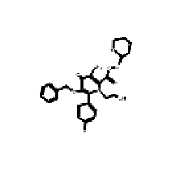 Cc1c(C(=O)OOC2CCCCO2)n(CCO)c(-c2ccc(F)cc2)c(OCc2ccccc2)c1=O